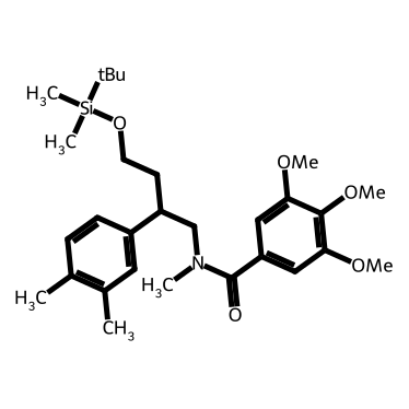 COc1cc(C(=O)N(C)CC(CCO[Si](C)(C)C(C)(C)C)c2ccc(C)c(C)c2)cc(OC)c1OC